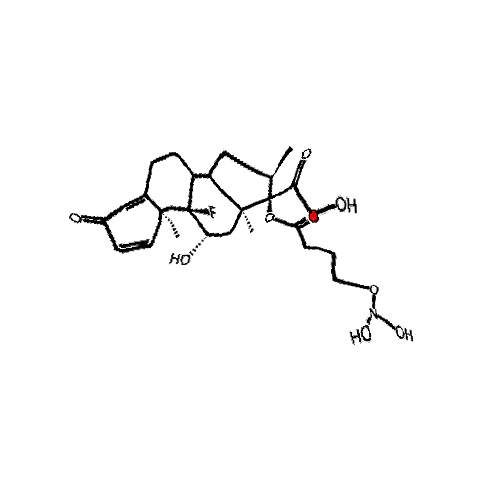 C[C@@H]1CC2C3CCC4=CC(=O)C=C[C@]4(C)[C@@]3(F)[C@@H](O)C[C@]2(C)[C@@]1(OC(=O)CCCON(O)O)C(=O)CO